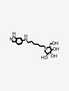 OC[C@@H]1[C@@H](O)[C@H](O)[C@@H](O)CN1CCCCCCNc1ccc2cn[nH]c2c1